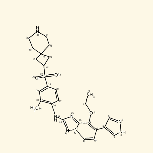 CCOc1c(-c2cn[nH]c2)ccn2nc(Nc3ccc(S(=O)(=O)C4CC5(CCNCC5)C4)cc3C)nc12